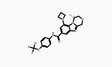 C[C@@H]1COCc2nc3cc(C(=O)Nc4ccc(OC(F)(F)Cl)cc4)cc(N4CCC4)c3n21